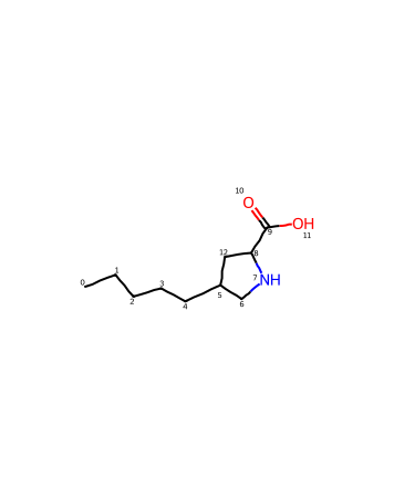 CCCCCC1CNC(C(=O)O)C1